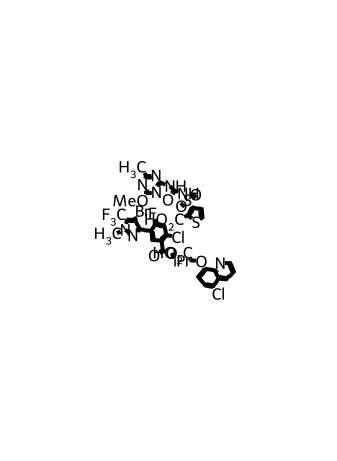 CC(C)OC(=O)c1cc(-c2nn(C)c(C(F)(F)F)c2Br)c(F)cc1Cl.COc1nc(C)nc(NC(=O)NS(=O)(=O)c2ccsc2C(=O)O)n1.O=C(O)COc1ccc(Cl)c2cccnc12